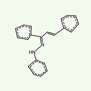 C(=Cc1ccccc1)C(=NNc1ccccc1)c1ccccc1